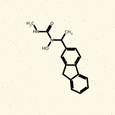 CNC(=O)N(O)C(C)c1ccc2c(c1)Cc1ccccc1-2